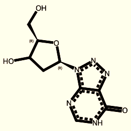 O=c1[nH]cnc2c1nnn2[C@H]1CC(O)[C@@H](CO)O1